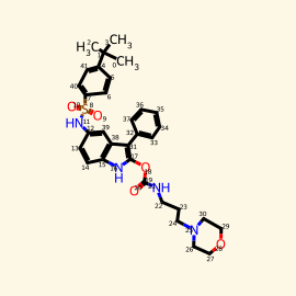 CC(C)(C)c1ccc(S(=O)(=O)Nc2ccc3[nH]c(OC(=O)NCCCN4CCOCC4)c(-c4ccccc4)c3c2)cc1